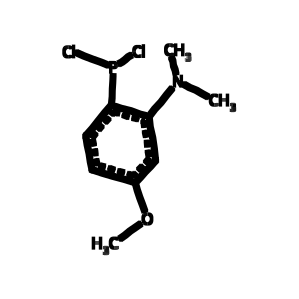 COc1ccc(P(Cl)Cl)c(N(C)C)c1